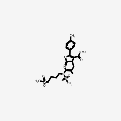 CNC(=O)C1=C(c2ccc(C)cc2)OC2=NC(N(CCCCS(C)(=O)=O)S(C)(=O)=O)=C(I)CC21